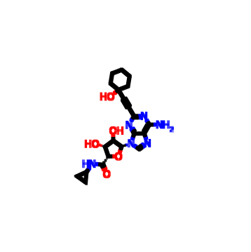 Nc1nc(C#CC2(O)CCCCC2)nc2c1ncn2[C@@H]1O[C@H](C(=O)NC2CC2)[C@H](O)C1O